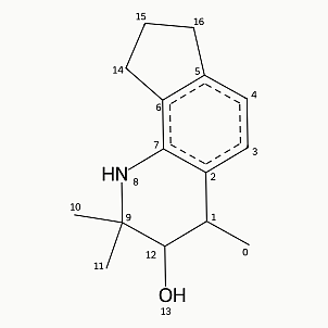 CC1c2ccc3c(c2NC(C)(C)C1O)CCC3